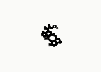 CN(CC(F)(F)F)C(=O)c1cc2c(n3cnnc13)NCc1c(F)ccc3c1C(CO3)CO2